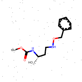 CC(C)(C)OC(=O)N[C@H](CCNOCc1ccccc1)C(=O)O